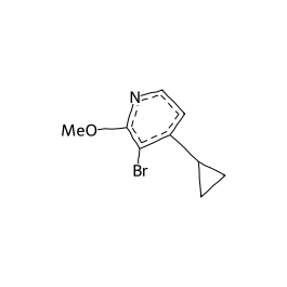 COc1nccc(C2CC2)c1Br